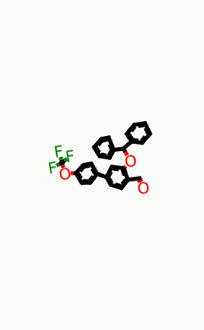 O=Cc1ccc(-c2ccc(OC(F)(F)F)cc2)cc1OC(c1ccccc1)c1ccccc1